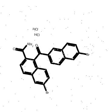 Cl.Cl.O=[C]([AlH2])c1ccc2cc(Br)ccc2c1C(=O)c1ccc2cc(Br)ccc2c1